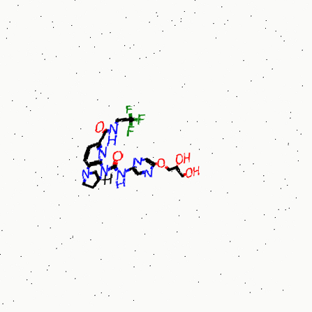 O=C(NCC(F)(F)F)c1ccc2c(n1)N(C(=O)Nc1cnc(OC[C@@H](O)CO)cn1)[C@H]1CCN2C1